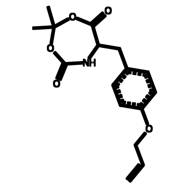 C=CCOc1ccc(CC2NC(=O)OC(C)(C)OC2=O)cc1